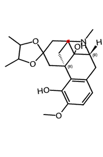 COc1ccc2c(c1O)[C@]13CCN(C)[C@H](C2)C1(O)CCC1(C3)OC(C)C(C)O1